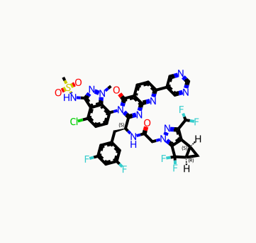 Cn1nc(NS(C)(=O)=O)c2c(Cl)ccc(-n3c([C@H](Cc4cc(F)cc(F)c4)NC(=O)Cn4nc(C(F)F)c5c4C(F)(F)[C@@H]4C[C@H]54)nc4nc(-c5cncnc5)ccc4c3=O)c21